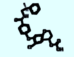 C[C@@H](CNC(=O)c1ccc(Oc2cc3c(cc2Cl)C(OC(=O)O)CCO3)cc1)c1ccccc1